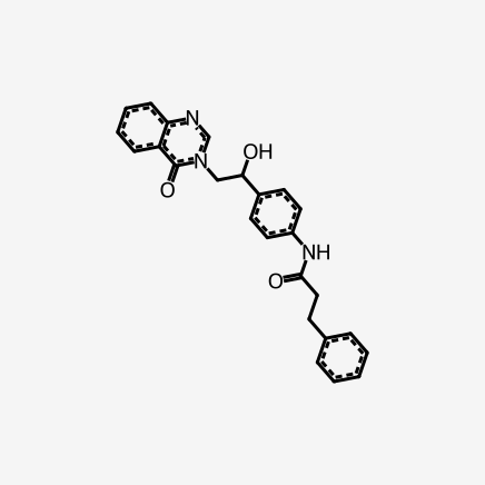 O=C(CCc1ccccc1)Nc1ccc(C(O)Cn2cnc3ccccc3c2=O)cc1